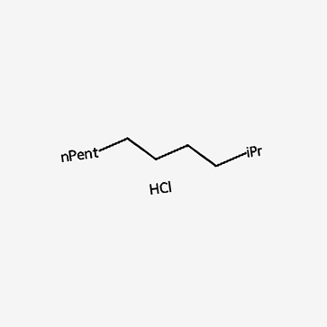 CCCCCCCCCC(C)C.Cl